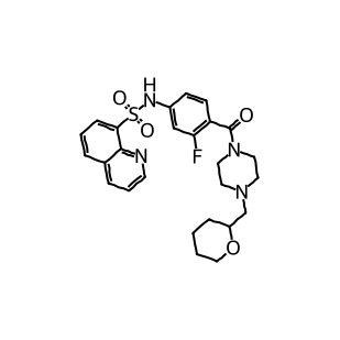 O=C(c1ccc(NS(=O)(=O)c2cccc3cccnc23)cc1F)N1CCN(CC2CCCCO2)CC1